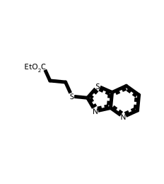 CCOC(=O)CCSc1nc2ncccc2s1